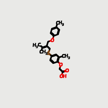 CC(C)=C(COc1ccc(C)cc1)CSc1ccc(OCC(=O)O)c(C)c1